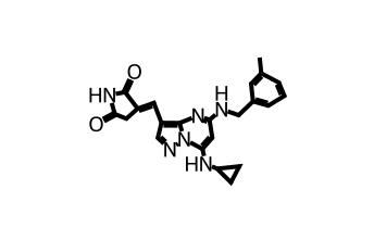 Cc1cccc(CNc2cc(NC3CC3)n3ncc(/C=C4\CC(=O)NC4=O)c3n2)c1